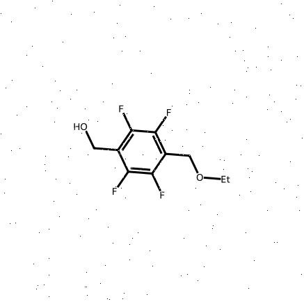 CCOCc1c(F)c(F)c(CO)c(F)c1F